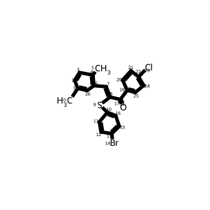 Cc1ccc(C)c(C=C(Sc2ccc(Br)cc2)C(=O)c2ccc(Cl)cc2)c1